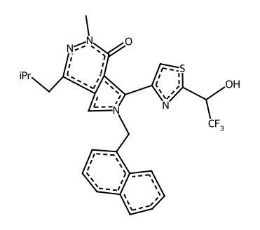 CC(C)Cc1nn(C)c(=O)c2c(-c3csc(C(O)C(F)(F)F)n3)n(Cc3cccc4ccccc34)cc12